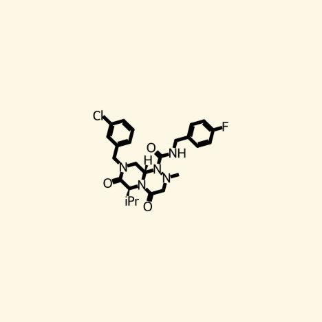 CC(C)[C@H]1C(=O)N(Cc2cccc(Cl)c2)C[C@H]2N1C(=O)CN(C)N2C(=O)NCc1ccc(F)cc1